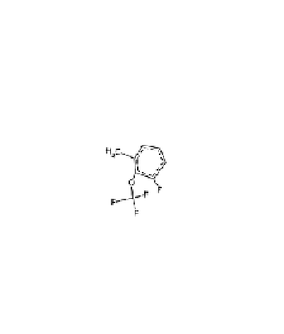 [CH2]c1cccc(F)c1OC(F)(F)F